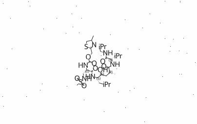 CC(C)CNC(=O)[C@@H](NC(=O)[C@H](C)C[C@H](O)[C@H](CC(C)C)NC(=O)[C@H](CNS(C)(=O)=O)NC(=O)OCC1=NC(C)CS1)C(C)C